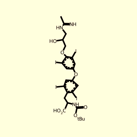 CC(=N)NCC(O)COc1c(I)cc(Oc2cc(I)c(CC(NC(=O)OC(C)(C)C)C(=O)O)c(I)c2)cc1I